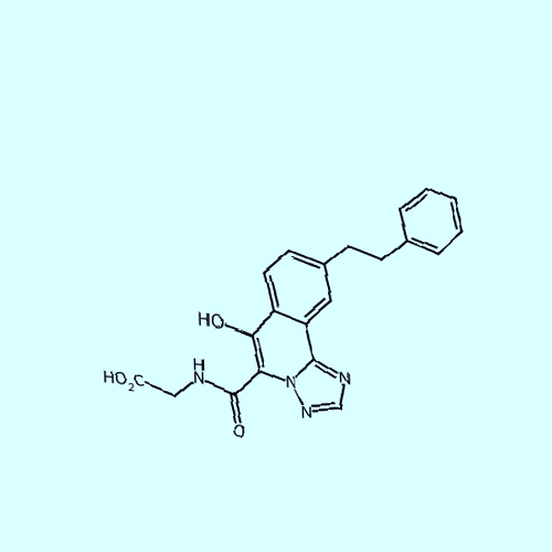 O=C(O)CNC(=O)c1c(O)c2ccc(CCc3ccccc3)cc2c2ncnn12